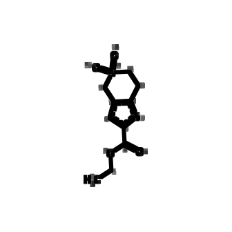 CCOC(=O)c1cc2c(s1)CCS(=O)(=O)C2